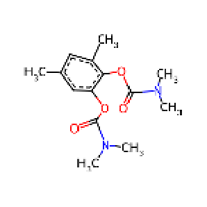 Cc1cc(C)c(OC(=O)N(C)C)c(OC(=O)N(C)C)c1